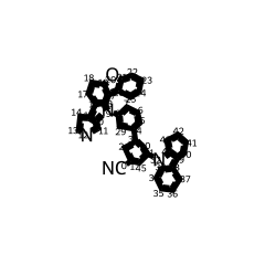 N#Cc1cc(-c2cccc(-n3c4cnccc4c4ccc5oc6ccccc6c5c43)c2)cc(-n2c3ccccc3c3ccccc32)c1